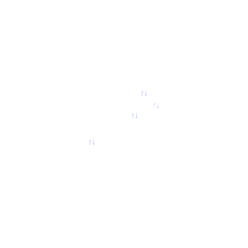 c1ccc(-n2c3ccccc3c3cc(-c4nc(-n5c6ccccc6c6ccccc65)nc5sc6ccc7ccccc7c6c45)ccc32)cc1